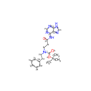 CC(C)(C)OC(=O)N(CCC(=O)Nc1ncnc2[nH]cnc12)CCc1ccccc1